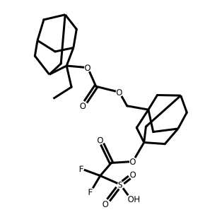 CCC1(OC(=O)OCC23CC4CC(C2)CC(OC(=O)C(F)(F)S(=O)(=O)O)(C4)C3)C2CC3CC(C2)CC1C3